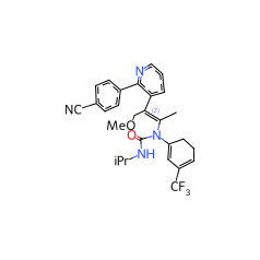 COC/C(=C(/C)N(C(=O)NC(C)C)C1=CC(C(F)(F)F)=CCC1)c1cccnc1-c1ccc(C#N)cc1